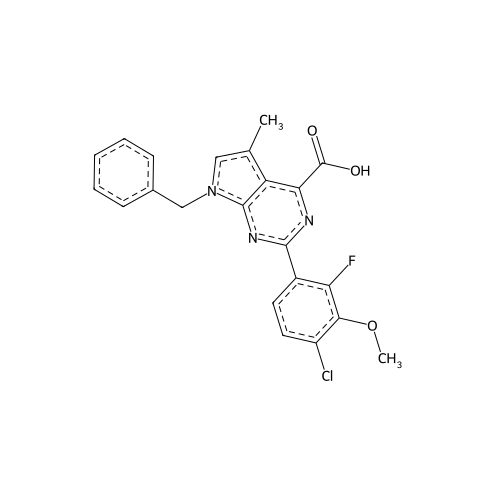 COc1c(Cl)ccc(-c2nc(C(=O)O)c3c(C)cn(Cc4ccccc4)c3n2)c1F